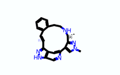 C[C@H]1NCCc2ccccc2/C=C/c2n[nH]c3cnc(cc23)-c2cn(C)nc21